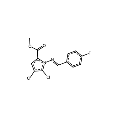 COC(=O)c1cc(Cl)c(Cl)n1N=Cc1ccc(F)cc1